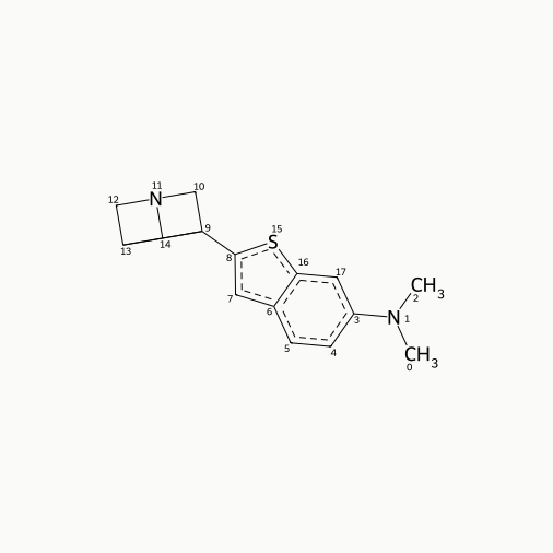 CN(C)c1ccc2cc(C34CN5CC3C54)sc2c1